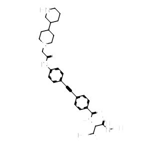 C[C@@H](O)[C@H](NC(=O)c1ccc(C#Cc2ccc(NC(=O)CN3CCC(C4CCCNC4)CC3)cc2)cc1)C(=O)NO